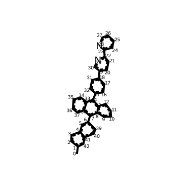 Cc1ccc2cc(-c3c4ccccc4c(-c4ccc(-c5ccc(-c6ccccn6)nc5)cc4)c4ccccc34)ccc2c1